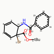 CC(C)(C)OC(=O)C1(Br)C=CC=CC1NC(=O)c1ccccc1